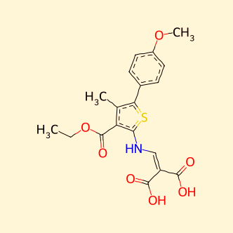 CCOC(=O)c1c(NC=C(C(=O)O)C(=O)O)sc(-c2ccc(OC)cc2)c1C